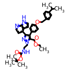 CCOC(=O)c1c(-c2ccc(OCc3ccc(C(C)C)cc3)cc2)c(-c2ccnc3[nH]ccc23)nn1CCNC(=O)OC(C)(C)C